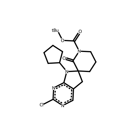 CC(C)(C)OC(=O)N1CCCC2(Cc3cnc(Cl)nc3N2C2CCCC2)C1=O